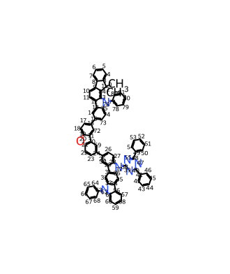 CC1(C)c2ccccc2-c2ccc3c4cc(-c5ccc6oc7ccc(-c8ccc9c(c8)c8cc%10c(cc8n9-c8nc(-c9ccccc9)nc(-c9ccccc9)n8)c8ccccc8n%10-c8ccccc8)cc7c6c5)ccc4n(-c4ccccc4)c3c21